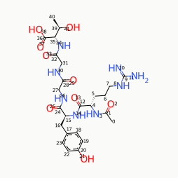 CC(=O)N[C@@H](CCCNC(=N)N)C(=O)N[C@@H](Cc1ccc(O)cc1)C(=O)NCC(=O)NCC(=O)N[C@H](C(=O)O)[C@@H](C)O